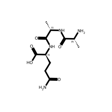 C[C@H](NC(=O)[C@@H](C)N)C(=O)N[C@@H](CCC(N)=O)C(=O)O